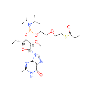 CCC(=O)SCCOCCOP(OC1[C@@H](CC)O[C@@H](n2cnc3c(=O)[nH]c(C)nc32)[C@H]1OC)N(C(C)C)C(C)C